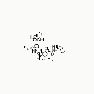 COc1cc(C(=O)NC2CCCCN2C)ccc1Nc1ncc2c(n1)-c1onc(C(=O)NC[C@H](N)c3ccccc3)c1CC2(C)C